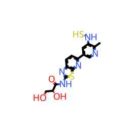 Cc1ncc(-c2ccc3nc(NC(=O)[C@@H](O)CO)sc3n2)cc1NS